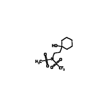 CS(=O)(=O)N(CCC1(O)CCCCC1)S(=O)(=O)C(F)(F)F